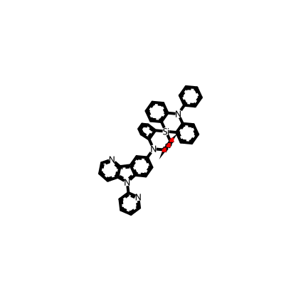 c1ccc(N2c3ccccc3[Si]3(c4ccccc42)c2ccccc2N(c2ccc4c(c2)c2ncccc2n4-c2ccccn2)c2ccccc23)cc1